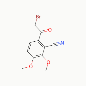 COc1ccc(C(=O)CBr)c(C#N)c1OC